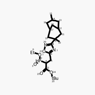 CCO[PH](=O)C(Cc1nc(C2(C)CC3CC(C)CC(C3)C2)no1)C(=O)OC(C)(C)C